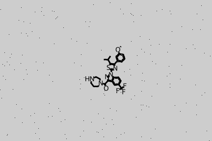 COc1cccc(-c2nc(-n3nc(C(=O)N4CCCNCC4)c4cc(C(F)(F)F)ccc43)sc2C(C)C)c1